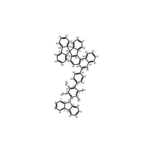 Fc1c(F)c(-n2c3ccccc3c3ccccc32)c(F)c(F)c1-c1ccc(-c2nc3ccccc3c3c4c(ccc23)C2(c3ccccc3-c3ccccc32)c2ccccc2-4)cc1